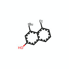 CCc1cccc2cc(O)cc(C(C)(C)C)c12